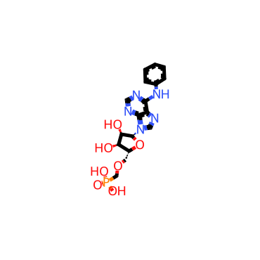 O=P(O)(O)COC[C@H]1O[C@@H](n2cnc3c(Nc4ccccc4)ncnc32)[C@H](O)[C@@H]1O